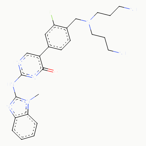 Cn1c(Nc2nc(=O)c(-c3ccc(CN(CCCN)CCCN)c(F)c3)c[nH]2)nc2ccccc21